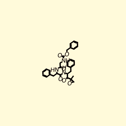 CC1(C(=O)C(Cc2ccccc2)NC(=O)C(Cc2ccccc2)NC(=O)CNC(=O)OCc2ccccc2)CO1